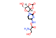 N[C@H](CO)C(=O)ONc1ccn([C@@H]2O[C@H](CO)[C@H]3OC(=O)O[C@H]32)c(=O)n1